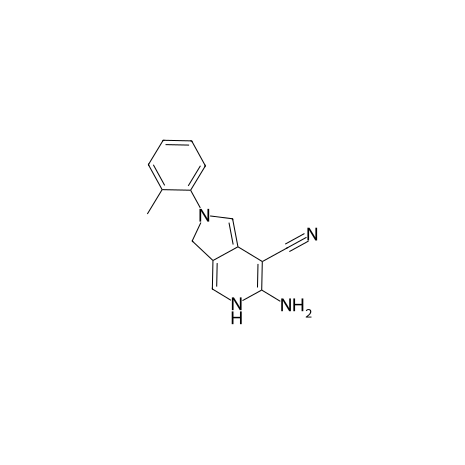 Cc1ccccc1N1C=C2C(=CNC(N)=C2C#N)C1